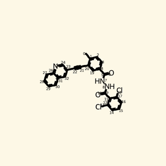 Cc1ccc(C(=O)NNC(=O)c2c(Cl)cccc2Cl)cc1C#Cc1cnc2ccccc2c1